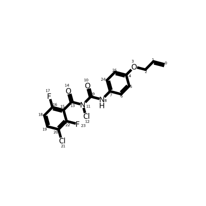 C=CCOc1ccc(NC(=O)N(Cl)C(=O)c2c(F)ccc(Cl)c2F)cc1